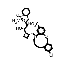 NS(=O)(=O)[C@@H]1CCCC[C@H]1C/C=C/[C@H](O)[C@@H]1CC[C@H]1CN1CCCCc2cc(Cl)ccc2COc2ccc(C(=O)O)cc21